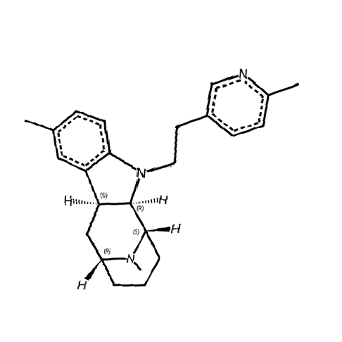 Cc1ccc2c(c1)[C@@H]1C[C@H]3CCC[C@@H]([C@@H]1N2CCc1ccc(C)nc1)N3C